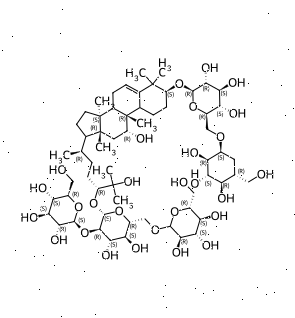 C[C@H](CC[C@@H](O[C@@H]1O[C@H](COC2O[C@H](CO)[C@@H](O)[C@H](O)[C@H]2O)[C@@H](O)[C@H](O)[C@H]1O[C@@H]1O[C@H](CO)[C@@H](O)[C@H](O)[C@H]1O)C(C)(C)O)C1CC[C@@]2(C)C3CC=C4C(CC[C@H](O[C@@H]5O[C@H](CO[C@H]6C[C@H](CO)[C@@H](O)[C@H](O)[C@H]6O)[C@@H](O)[C@H](O)[C@H]5O)C4(C)C)[C@]3(C)[C@H](O)C[C@]12C